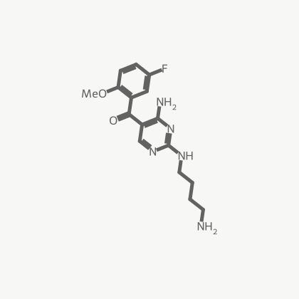 COc1ccc(F)cc1C(=O)c1cnc(NCCCCN)nc1N